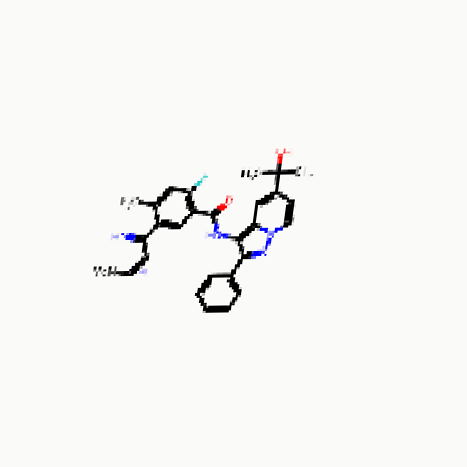 CN/C=C\C(=N)c1cc(C(=O)Nc2c(-c3ccccc3)nn3ccc(C(C)(C)O)cc23)c(F)cc1C(F)(F)F